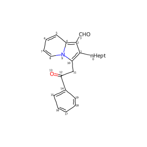 CCCCCCCc1c(C=O)c2ccccn2c1CC(=O)c1ccccc1